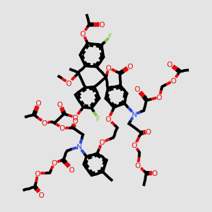 COC1(C)c2cc(OC(C)=O)c(F)cc2C2(OC(=O)c3cc(N(CC(=O)OCOC(C)=O)CC(=O)OCOC(C)=O)c(OCCOc4cc(C)ccc4N(CC(=O)OCOC(C)=O)CC(=O)OCOC(C)=O)cc32)c2cc(F)c(OC(C)=O)cc21